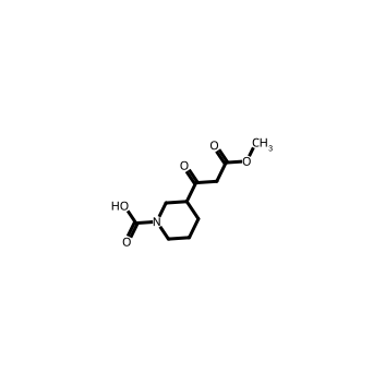 COC(=O)CC(=O)C1CCCN(C(=O)O)C1